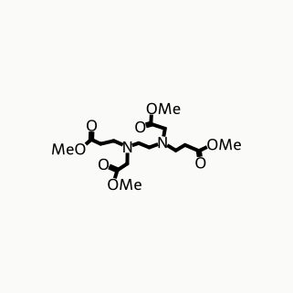 COC(=O)CCN(CCN(CCC(=O)OC)CC(=O)OC)CC(=O)OC